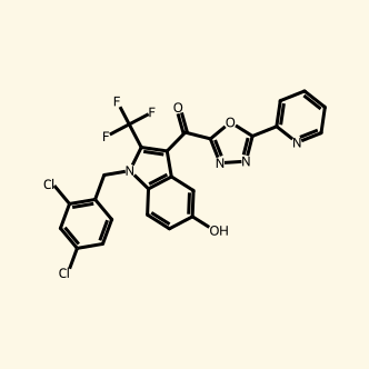 O=C(c1nnc(-c2ccccn2)o1)c1c(C(F)(F)F)n(Cc2ccc(Cl)cc2Cl)c2ccc(O)cc12